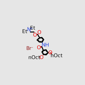 CCCCCCCCOc1cc(OCCCCCCCC)cc(C(=O)Nc2ccc(C(=O)OCC[N+](C)(CC)CC)cc2)c1.[Br-]